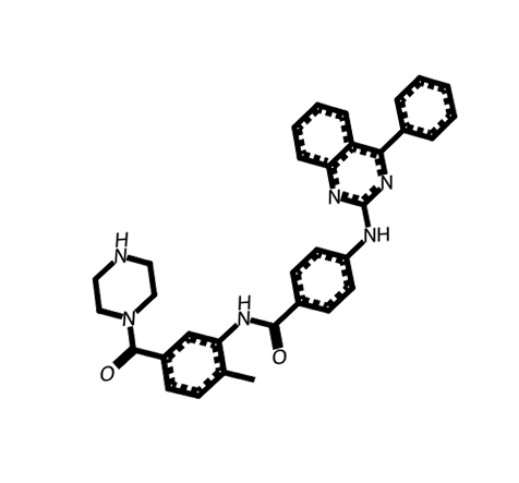 Cc1ccc(C(=O)N2CCNCC2)cc1NC(=O)c1ccc(Nc2nc(-c3ccccc3)c3ccccc3n2)cc1